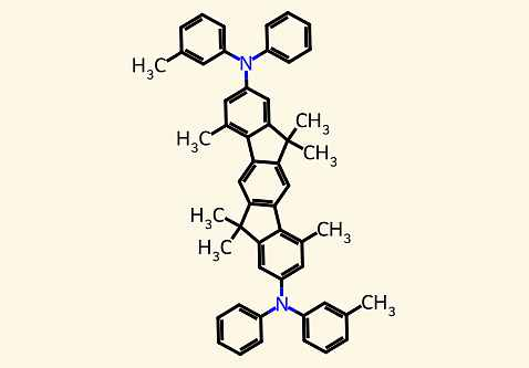 Cc1cccc(N(c2ccccc2)c2cc(C)c3c(c2)C(C)(C)c2cc4c(cc2-3)C(C)(C)c2cc(N(c3ccccc3)c3cccc(C)c3)cc(C)c2-4)c1